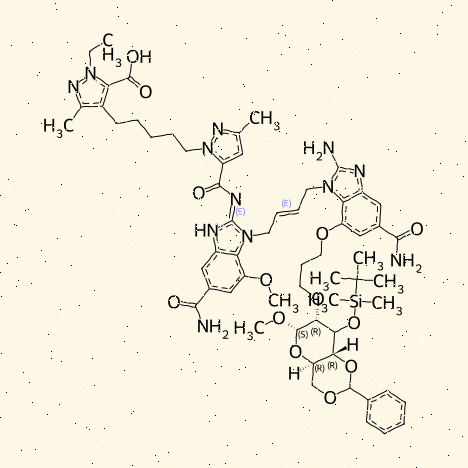 CCn1nc(C)c(CCCCCn2nc(C)cc2C(=O)/N=c2\[nH]c3cc(C(N)=O)cc(OC)c3n2C/C=C/Cn2c(N)nc3cc(C(N)=O)cc(OCCCO[C@@H]4C(O[Si](C)(C)C(C)(C)C)[C@@H]5OC(c6ccccc6)OC[C@H]5O[C@@H]4OC)c32)c1C(=O)O